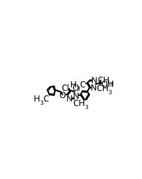 Cc1cccc(COc2nc(C)n(-c3cccc(-c4nc(C(C)(C)O)ncc4C)c3)c(=O)c2Cl)c1